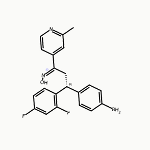 Bc1ccc([C@@H](C/C(=N\O)c2ccnc(C)c2)c2ccc(F)cc2F)cc1